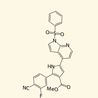 COC(=O)c1cc(-c2ccnc3c2ccn3S(=O)(=O)c2ccccc2)[nH]c1-c1ccc(C#N)c(F)c1